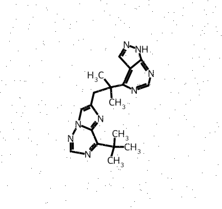 CC(C)(C)c1ncnn2cc(CC(C)(C)c3ncnc4[nH]ncc34)nc12